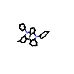 Cc1ccc2c(c1)N(c1ccccc1)c1cccc3c1B2c1ccccc1N3c1ccccc1